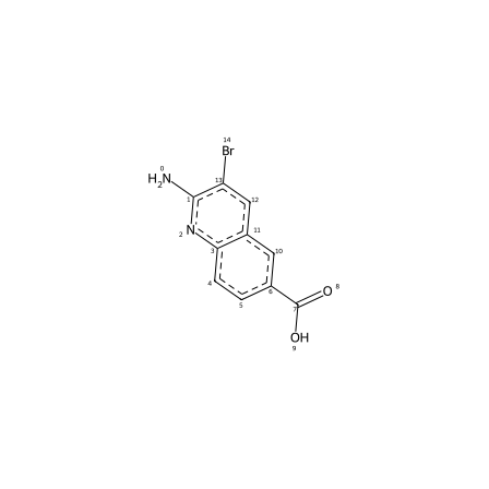 Nc1nc2ccc(C(=O)O)cc2cc1Br